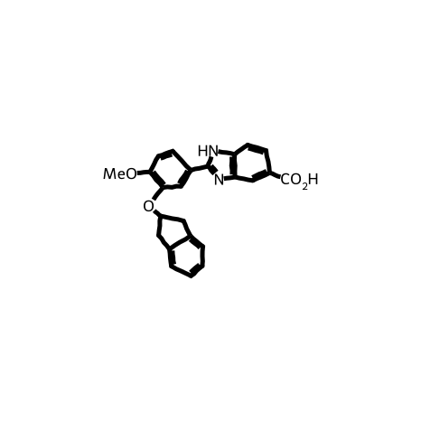 COc1ccc(-c2nc3cc(C(=O)O)ccc3[nH]2)cc1OC1Cc2ccccc2C1